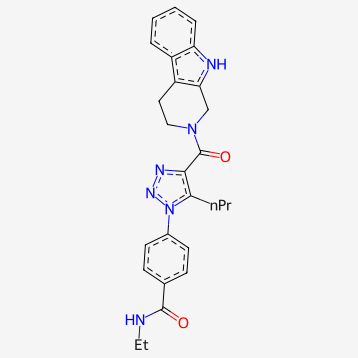 CCCc1c(C(=O)N2CCc3c([nH]c4ccccc34)C2)nnn1-c1ccc(C(=O)NCC)cc1